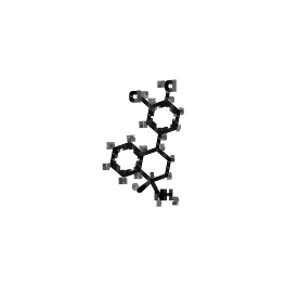 C[C@]1(N)CCC(c2ccc(Cl)c(Cl)c2)c2ccccc21